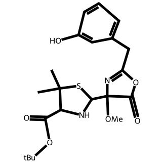 COC1(C2NC(C(=O)OC(C)(C)C)C(C)(C)S2)N=C(Cc2cccc(O)c2)OC1=O